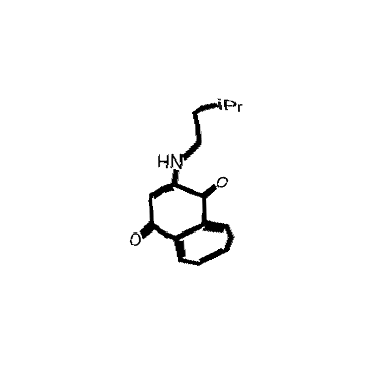 CC(C)CCNC1=CC(=O)c2ccccc2C1=O